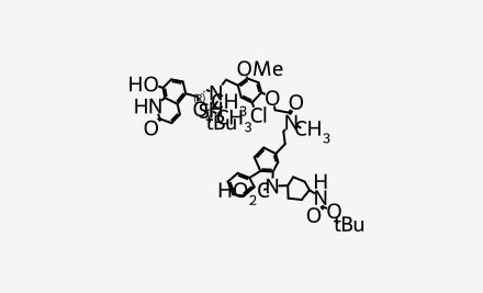 COc1cc(OCC(=O)N(C)CCc2ccc(-c3ccccc3)c(N(C(=O)O)C3CCC(NC(=O)OC(C)(C)C)CC3)c2)c(Cl)cc1CNC[C@H](O[Si](C)(C)C(C)(C)C)c1ccc(O)c2[nH]c(=O)ccc12